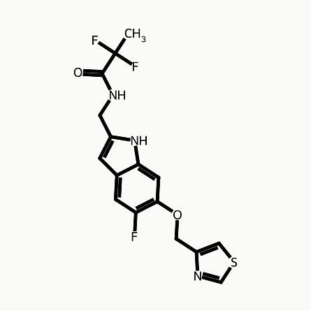 CC(F)(F)C(=O)NCc1cc2cc(F)c(OCc3cscn3)cc2[nH]1